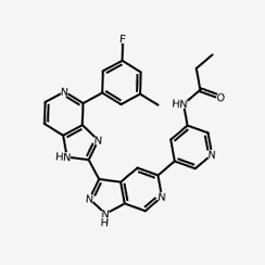 CCC(=O)Nc1cncc(-c2cc3c(-c4nc5c(-c6cc(C)cc(F)c6)nccc5[nH]4)n[nH]c3cn2)c1